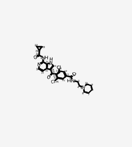 O=C(NCCN1CCCCC1)c1cc(Cl)c(C(=O)c2c[nH]c3c(NC(=O)C4CC4)nccc23)c(Cl)c1